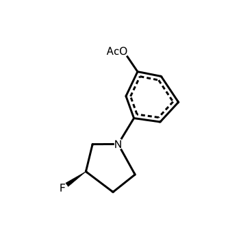 CC(=O)Oc1cccc(N2CC[C@@H](F)C2)c1